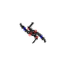 CCCCCCC[C@@H](C)Oc1ccc2c(ccc3c(-c4c(OC(=O)c5ccc(-c6ccc(N=Nc7ccc(CCCC)cc7)cc6)cc5)ccc5c4ccc4cc(O[C@@H](C)CCCCCCC)ccc45)c(OC(=O)c4ccc(-c5ccc(N=Nc6ccc(CCCC)cc6)cc5)cc4)ccc32)c1